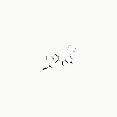 CC#CC(=O)N1CCOc2ccc(-c3csc4c(=O)cc(N5CCOCC5)oc34)cc21